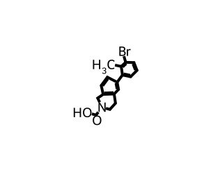 Cc1c(Br)cccc1-c1ccc2c(c1)CCN(C(=O)O)C2